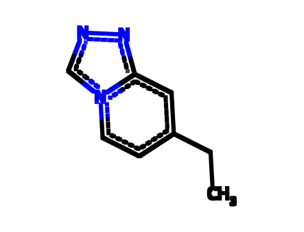 CCc1ccn2cnnc2c1